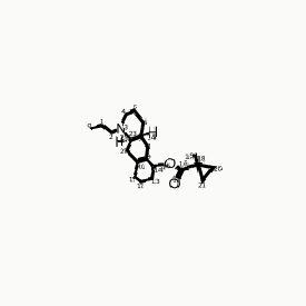 CCCN1CCC[C@@H]2CC3=C(CCCC3OC(=O)C3(C)CC3)C[C@H]21